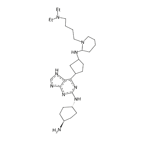 CCN(CC)CCCCN1CCCCC1NC1CCC(c2nc(N[C@H]3CC[C@H](N)CC3)nc3nc[nH]c23)C1